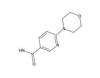 [NH]C(=O)c1ccc(N2CCOCC2)nc1